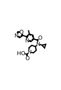 Cc1cc(C(=O)N(C2CC2)C2CCN(C(=O)O)CC2)cnc1-c1cnco1